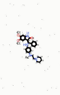 CCOc1cc2c(cc1OCC)C(=C(Nc1ccc(N(CCN3CCCCC3)C(C)=O)cc1)c1ccccc1)C(=O)N2